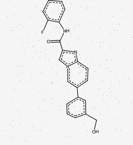 O=C(Nc1ccccc1F)c1cn2cc(-c3cccc(CO)c3)ccc2n1